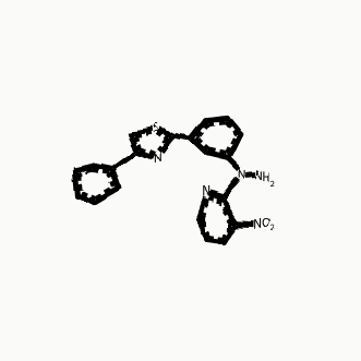 NN(c1cccc(-c2nc(-c3ccccc3)cs2)c1)c1ncccc1[N+](=O)[O-]